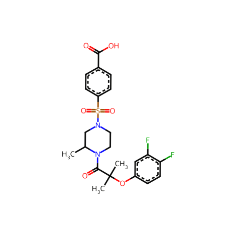 CC1CN(S(=O)(=O)c2ccc(C(=O)O)cc2)CCN1C(=O)C(C)(C)Oc1ccc(F)c(F)c1